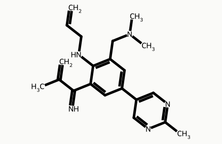 C=CCNc1c(CN(C)C)cc(-c2cnc(C)nc2)cc1C(=N)C(=C)C